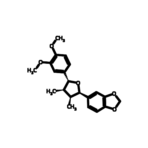 COc1ccc([C@@H]2O[C@@H](c3ccc4c(c3)OCO4)[C@H](C)[C@@H]2C)cc1OC